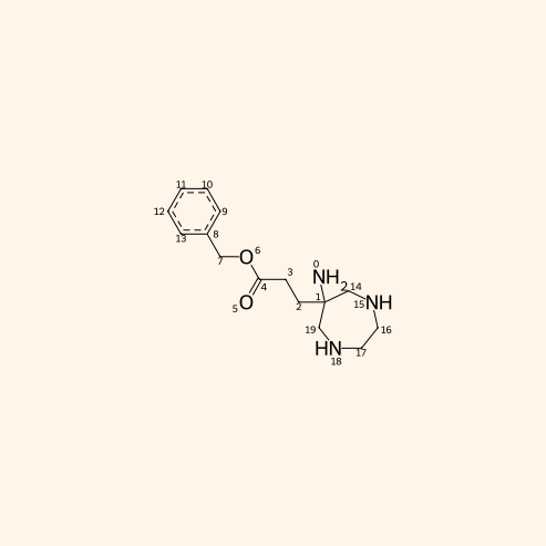 NC1(CCC(=O)OCc2ccccc2)CNCCNC1